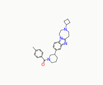 Cc1ccc(C(=O)N2CCCC(c3ccc4c(c3)nc3n4CCN(C4CCC4)CC3)C2)cc1